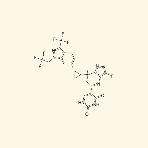 CC1([C@H]2C[C@@H]2c2ccc3c(C(F)(F)F)nn(CC(F)(F)F)c3c2)CC(c2c[nH]c(=O)[nH]c2=O)=Nn2c(F)cnc21